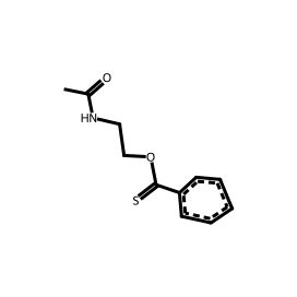 CC(=O)NCCOC(=S)c1ccccc1